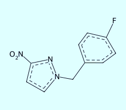 O=[N+]([O-])c1ccn(Cc2ccc(F)cc2)n1